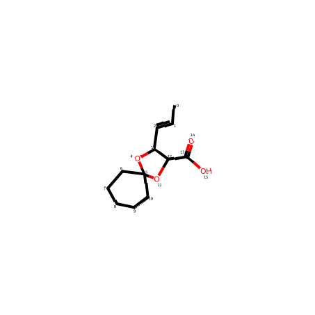 CC=CC1OC2(CCCCC2)OC1C(=O)O